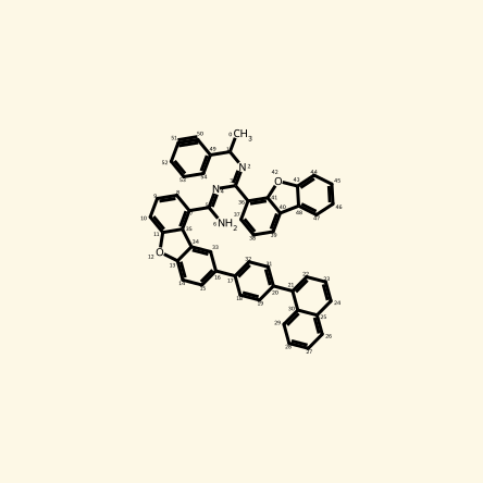 CC(/N=C(\N=C(/N)c1cccc2oc3ccc(-c4ccc(-c5cccc6ccccc56)cc4)cc3c12)c1cccc2c1oc1ccccc12)c1c#cccc1